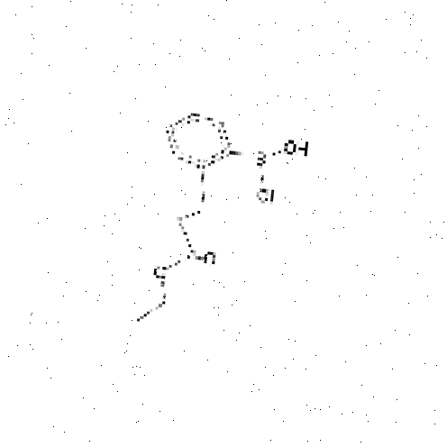 CCOC(=O)CCc1ccccc1B(O)O